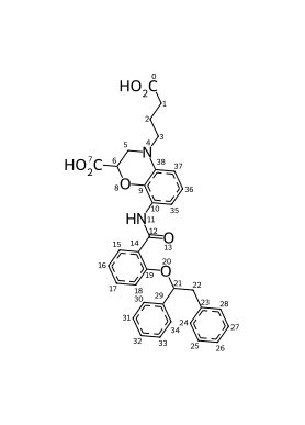 O=C(O)CCCN1CC(C(=O)O)Oc2c(NC(=O)c3ccccc3OC(Cc3ccccc3)c3ccccc3)cccc21